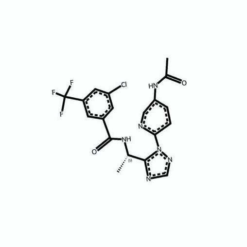 CC(=O)Nc1ccc(-n2ncnc2[C@H](C)NC(=O)c2cc(Cl)cc(C(F)(F)F)c2)nc1